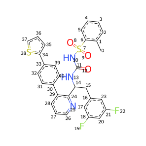 Cc1ccccc1S(=O)(=O)NC(=O)NC(Cc1cc(F)cc(F)c1)c1ncccc1-c1ccc(-c2cccs2)cc1